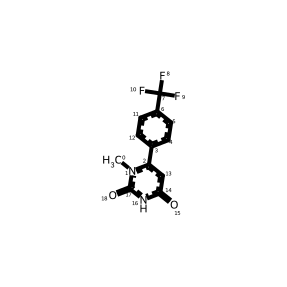 Cn1c(-c2ccc(C(F)(F)F)cc2)cc(=O)[nH]c1=O